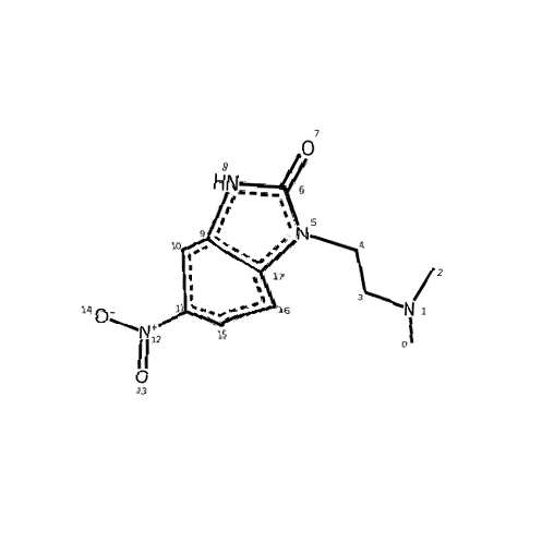 CN(C)CCn1c(=O)[nH]c2cc([N+](=O)[O-])ccc21